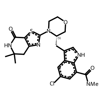 CNC(=O)c1cc(Cl)cc2c(C[C@H]3COCCN3c3nc4c(s3)C(=O)NC(C)(C)C4)c[nH]c12